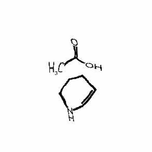 C1=CNCCC1.CC(=O)O